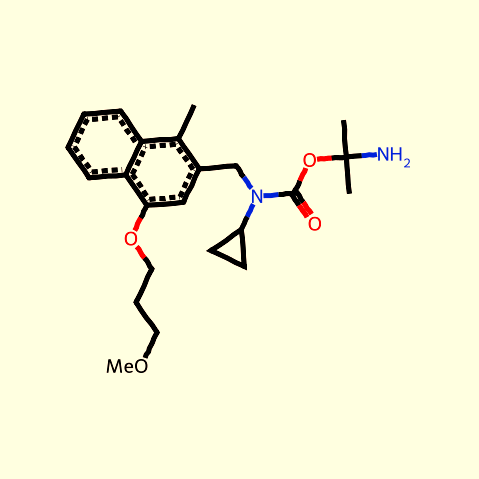 COCCCOc1cc(CN(C(=O)OC(C)(C)N)C2CC2)c(C)c2ccccc12